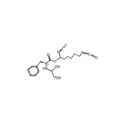 O=C=NCCCCCC(N=C=O)OC(=O)[C@H](Cc1ccccc1)NC(O)CO